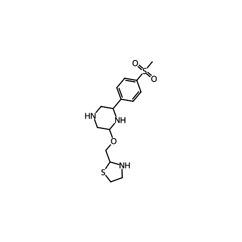 CS(=O)(=O)c1ccc(C2CNCC(OCC3NCCS3)N2)cc1